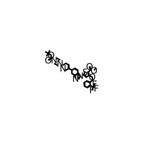 COC(=O)c1sc(-n2cnc3c2C=CC(C2=CCC(N4CCN(C(=O)OC(C)(C)C)CC4)N=C2)C3)cc1O[C@H](C)c1ccccc1C(F)(F)F